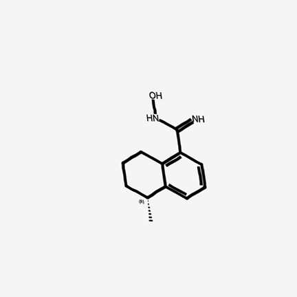 C[C@@H]1CCCc2c(C(=N)NO)cccc21